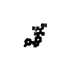 Cc1cccc(-n2ncc3ccc(NC(=O)[C@H](N)CO)cc32)c1